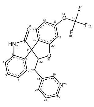 O=C1Nc2ccccc2C12c1ccc(OC(F)(F)F)cc1OC2Cc1cccnc1